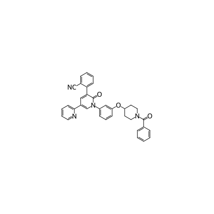 N#Cc1ccccc1-c1cc(-c2ccccn2)cn(-c2cccc(OC3CCN(C(=O)c4ccccc4)CC3)c2)c1=O